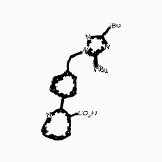 CCCCc1nc(C(C)CC)nn1Cc1ccc(-c2ncccc2C(=O)O)cc1